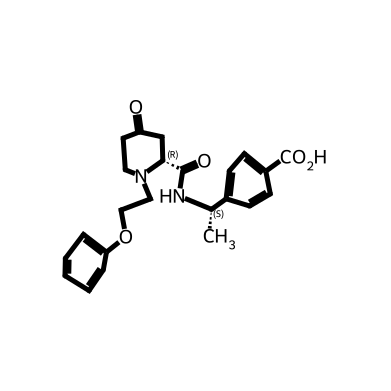 C[C@H](NC(=O)[C@H]1CC(=O)CCN1CCOc1ccccc1)c1ccc(C(=O)O)cc1